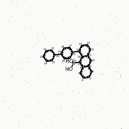 OB(O)c1c2ccccc2cc2cccc(-c3ccc(-c4ccccc4)cc3)c12